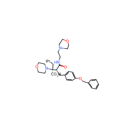 CC(C)C[C@@](C(=O)O)([C@H](Cc1ccc(OCc2ccccc2)cc1)C(=O)NCCN1CCOCC1)N1CCOCC1